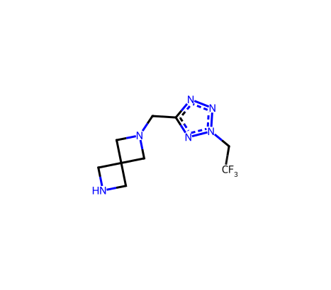 FC(F)(F)Cn1nnc(CN2CC3(CNC3)C2)n1